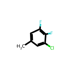 [CH2]c1cc(F)c(F)c(Cl)c1